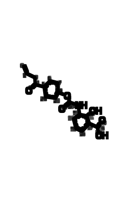 C=CCC(=O)c1ccc(OC(=O)Nc2cccc(C(=O)O)c2O)cc1